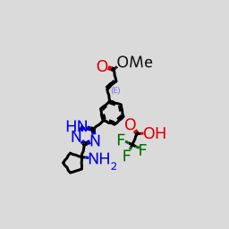 COC(=O)/C=C/c1cccc(-c2nc(C3(N)CCCC3)n[nH]2)c1.O=C(O)C(F)(F)F